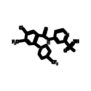 CS(=N)(=O)c1cc(NC(=O)c2cc(Cl)c(C(F)(F)F)cc2N2CCC(C(F)(F)F)CC2)ccn1